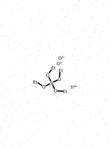 CCO[Si](OCC)(OCC)OCC.[O-2].[O-2].[Ti+4]